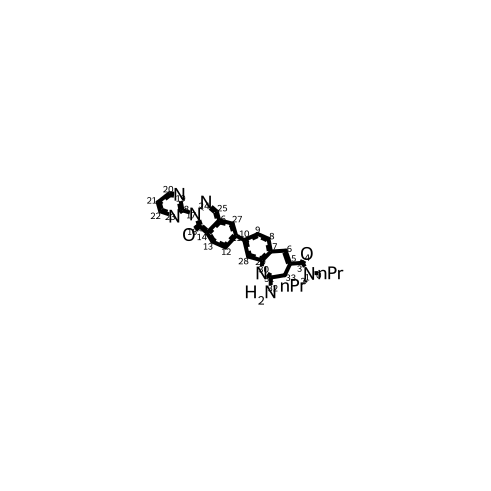 CCCN(CCC)C(=O)C1=Cc2ccc(-c3ccc4c(=O)n(-c5ncccn5)ncc4c3)cc2N=C(N)C1